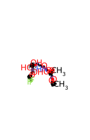 COc1cc(/C=C/C(=O)Oc2cccc(C)c2)ccc1OC(=O)CNC(=O)CCC/C=C\C[C@@H]1[C@@H](/C=C/[C@@H](O)COc2cccc(C(F)(F)F)c2)[C@H](O)C[C@@H]1O